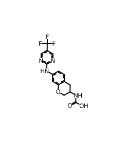 O=C(O)NC1COc2cc(Nc3ncc(C(F)(F)F)cn3)ccc2C1